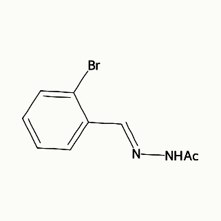 [CH2]C(=O)NN=Cc1ccccc1Br